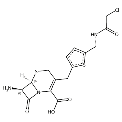 N[C@@H]1C(=O)N2C(C(=O)O)=C(Cc3ccc(CNC(=O)CCl)s3)CS[C@H]12